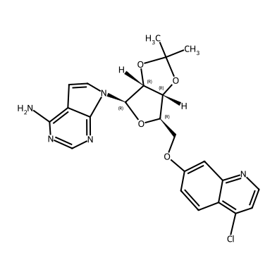 CC1(C)O[C@@H]2[C@H](O1)[C@@H](COc1ccc3c(Cl)ccnc3c1)O[C@H]2n1ccc2c(N)ncnc21